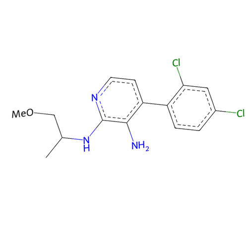 COCC(C)Nc1nccc(-c2ccc(Cl)cc2Cl)c1N